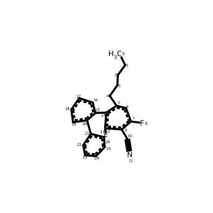 CCCCCc1cc(F)c(C#N)c(F)c1-c1ccccc1-c1ccccc1